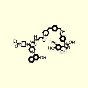 CCC(=O)N1CCN(c2nc(NCCC(=O)N3CCC(Cc4ccc(CN(C)Cc5ccc(-n6c(O)nnc6-c6cc(C(C)C)c(O)cc6O)cc5)cc4)CC3)nc3c2CCN(c2cc(O)cc4ccccc24)C3)CC1